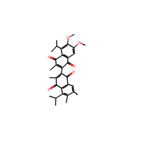 COc1cc2c(c(C(C)C)c1OC)C(=O)C(C)=C(C1=C(C)C(=O)c3c(cc(C)c(C)c3C(C)C)C1=O)C2=O